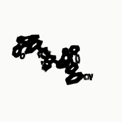 N#Cc1cccc(-c2ccc3c(c2)Oc2ccccc2C32c3ccccc3-c3c(-c4cc5ccc(-c6ccc7c(c6)Oc6ccccc6C76c7ccccc7-c7ccccc76)nc5c5ncccc45)cccc32)c1